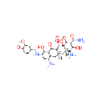 CN(C)c1cc(NCc2ccc3c(c2)OCO3)c(O)c2c1C[C@H]1C[C@H]3[C@@H](N(C)C)C(O)=C(C(N)=O)C(=O)[C@@]3(O)C(O)=C1C2=O